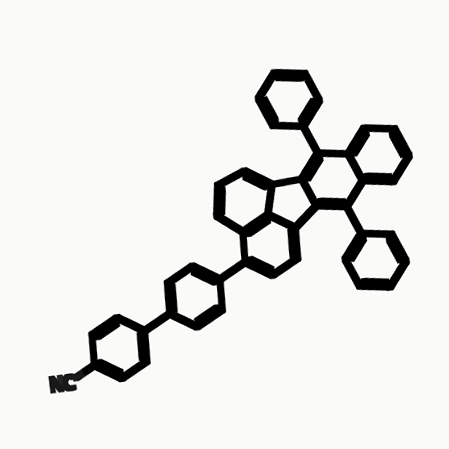 N#Cc1ccc(-c2ccc(-c3ccc4c5c(cccc35)-c3c-4c(-c4ccccc4)c4ccccc4c3-c3ccccc3)cc2)cc1